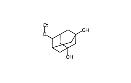 CCOC1C2CC3(O)CC1CC(O)(C2)C3